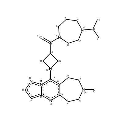 CC(C)N1CCCN(C(=O)C2CN(c3c4c(nc5ccnn35)CCN(C)CC4)C2)CC1